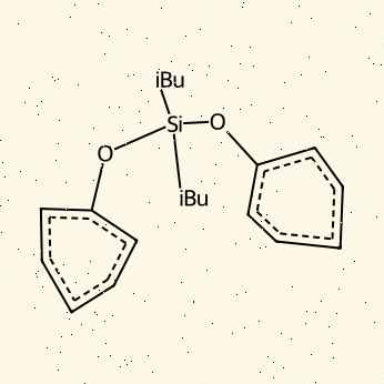 CCC(C)[Si](Oc1ccccc1)(Oc1ccccc1)C(C)CC